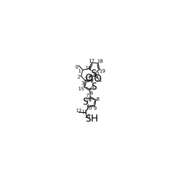 CC(Cc1csc(-c2ccc(C(C)S)s2)c1)C1=CC=CS1(=O)=O